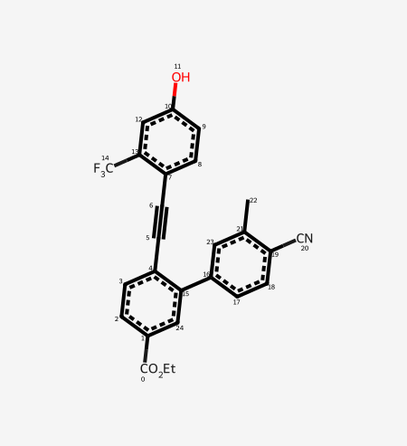 CCOC(=O)c1ccc(C#Cc2ccc(O)cc2C(F)(F)F)c(-c2ccc(C#N)c(C)c2)c1